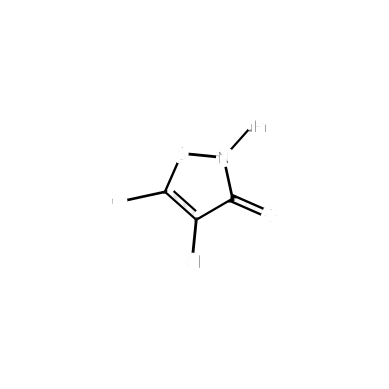 CC(C)n1sc(Cl)c(Cl)c1=O